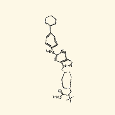 CC(C)(C)N(C[C@H]1CC[C@H](Cn2ncc3cnc(Nc4ccc(C5CCCCC5)cc4)nc32)CC1)C(=O)O